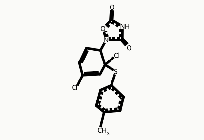 Cc1ccc(SC2(Cl)C=C(Cl)C=CC2n2oc(=O)[nH]c2=O)cc1